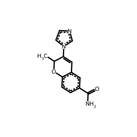 CC1Oc2ccc(C(N)=O)cc2C=C1n1ccnc1